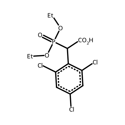 CCOP(=O)(OCC)C(C(=O)O)c1c(Cl)cc(Cl)cc1Cl